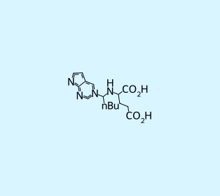 CCCCC(NC(CCC(=O)O)C(=O)O)n1cnc2nccc-2c1